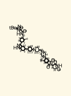 Cc1cc(-c2n[nH]c3ccc(-c4ccc(N5CCC(CN6CCN(c7cc8c(cc7F)C(=O)N(C7CCC(=O)NC7=O)C8=O)CC6)CC5)cc4)cc23)ccc1CNC(=O)c1nc(C(C)(C)C)no1